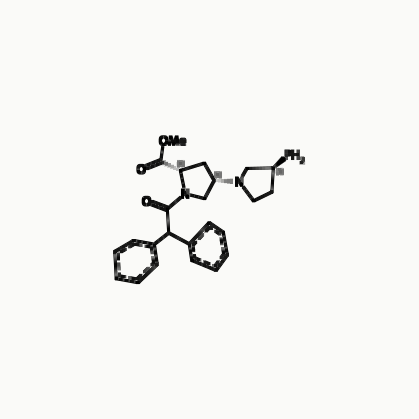 COC(=O)[C@@H]1C[C@H](N2CC[C@H](P)C2)CN1C(=O)C(c1ccccc1)c1ccccc1